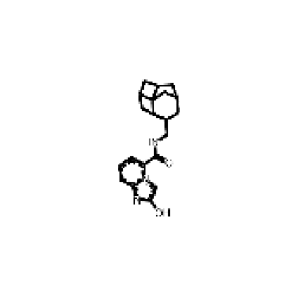 O=C(NCC12CC3CC4CC(C1)C4(C3)C2)c1cccc2nc(O)cn12